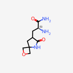 NC(=O)[C@@H](N)CC1CC2(COC2)NC1=O